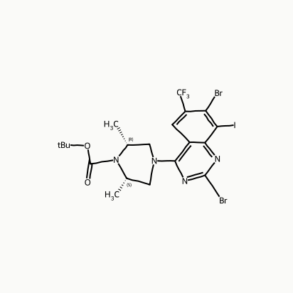 C[C@@H]1CN(c2nc(Br)nc3c(I)c(Br)c(C(F)(F)F)cc23)C[C@H](C)N1C(=O)OC(C)(C)C